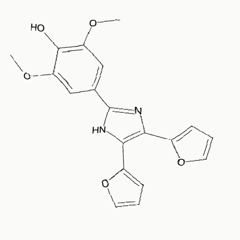 COc1cc(-c2nc(-c3ccco3)c(-c3ccco3)[nH]2)cc(OC)c1O